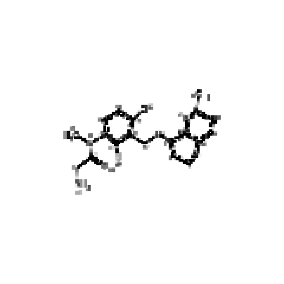 Cc1ncc2cccc(OCc3c(Cl)ccc(N(C)C(=O)CN)c3Cl)c2n1